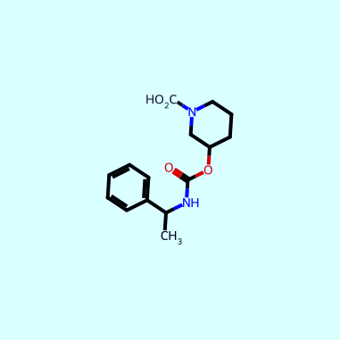 CC(NC(=O)OC1CCCN(C(=O)O)C1)c1ccccc1